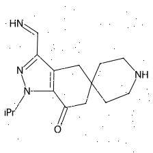 CC(C)n1nc(C=N)c2c1C(=O)CC1(CCNCC1)C2